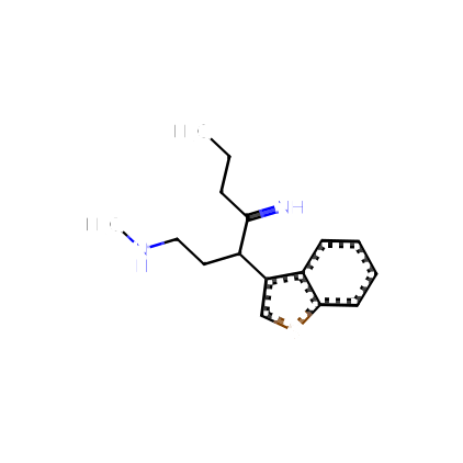 CCCC(=N)C(CCNC)c1csc2ccccc12